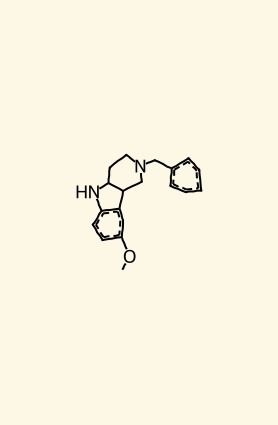 COc1ccc2c(c1)C1CN(Cc3ccccc3)CCC1N2